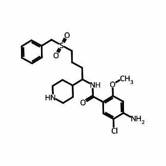 COc1cc(N)c(Cl)cc1C(=O)NC(CCCS(=O)(=O)Cc1ccccc1)C1CCNCC1